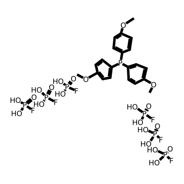 COc1ccc(P(c2ccc(OC)cc2)c2ccc(OC)cc2)cc1.O=P(O)(O)F.O=P(O)(O)F.O=P(O)(O)F.O=P(O)(O)F.O=P(O)(O)F.O=P(O)(O)F